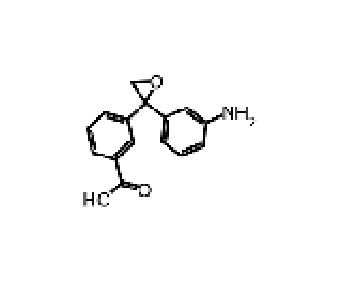 Nc1cccc(C2(c3cccc(C(=O)O)c3)CO2)c1